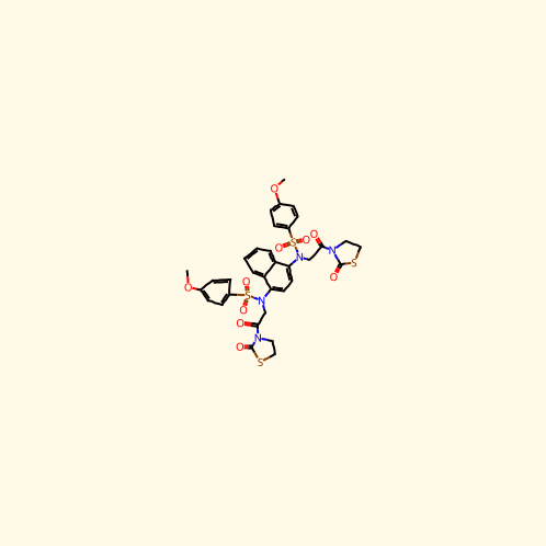 COc1ccc(S(=O)(=O)N(CC(=O)N2CCSC2=O)c2ccc(N(CC(=O)N3CCSC3=O)S(=O)(=O)c3ccc(OC)cc3)c3ccccc23)cc1